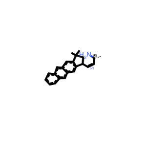 C[C@@H](N)/C=C\C1CC(C)(C)c2cc3cc4ccccc4cc3cc21